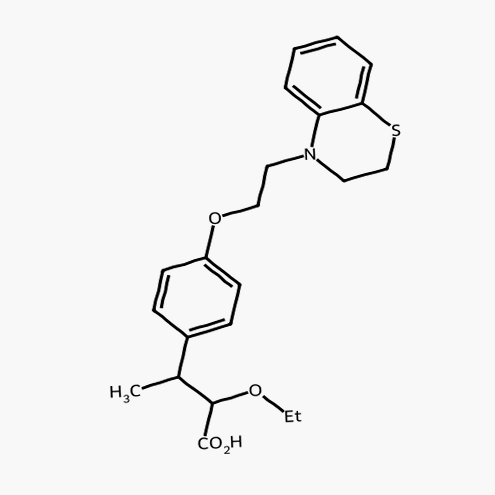 CCOC(C(=O)O)C(C)c1ccc(OCCN2CCSc3ccccc32)cc1